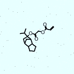 C=CC(=O)OCC(=O)OC1(C(C)C)CC2CC1C1CCCC21